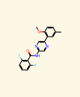 COc1ccc(C)cc1-c1cnc(NC(=O)c2c(F)cccc2F)cn1